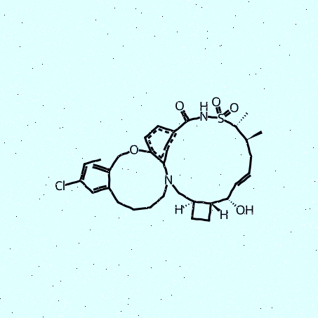 C=C1COc2ccc3cc2N(CCCC/C1=C/C(Cl)=C\C)C[C@@H]1CC[C@H]1[C@@H](O)/C=C/C[C@H](C)[C@@H](C)S(=O)(=O)NC3=O